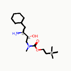 CN(C[C@@H](O)[C@@H](N)CC1CCCCC1)C(=O)OCC[Si](C)(C)C